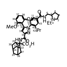 CCN1CCCC1CNC(=O)c1ccc(-n2nc(C(=O)NC3(C(=O)O)C4CC5CC(C4)CC3C5)cc2-c2c(OC)cccc2OC)c(C(C)C)c1